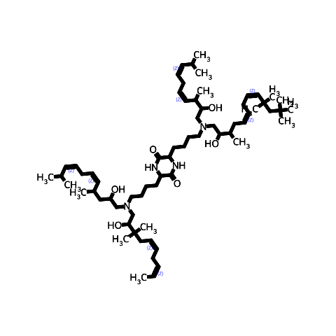 C/C=C\C/C=C\CC(C)(C)C(O)CN(CCCCC1NC(=O)C(CCCCN(CC(O)C(C)/C=C\C/C=C\C(C)C)CC(O)C(C)C/C=C\C/C=C\C(C)(C)CC(C)(C)C)NC1=O)CC(O)CC(C)/C=C\C/C=C\C(C)C